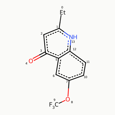 CCc1cc(=O)c2cc(OC(F)(F)F)ccc2[nH]1